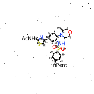 C=C1COCCN1c1ccc(-c2csc(NC(C)=O)n2)cc1NS(=O)(=O)c1ccc(CCCCC)cc1